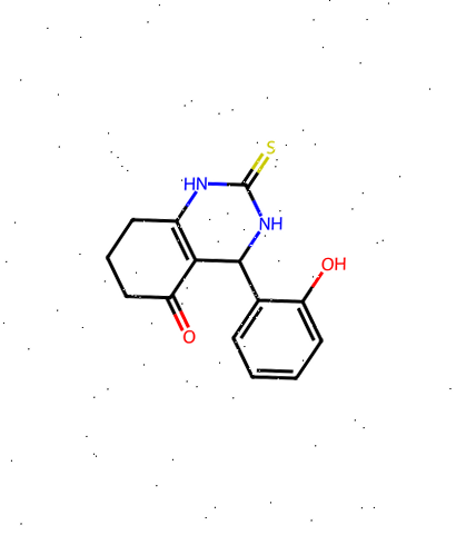 O=C1CCCC2=C1C(c1ccccc1O)NC(=S)N2